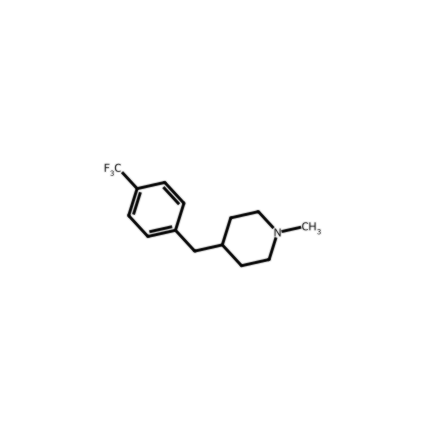 CN1CCC(Cc2ccc(C(F)(F)F)cc2)CC1